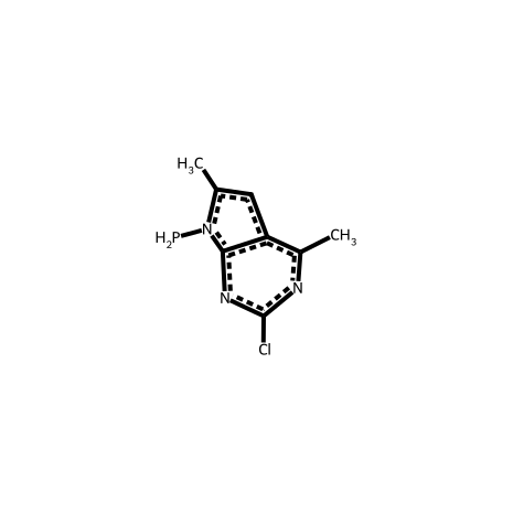 Cc1nc(Cl)nc2c1cc(C)n2P